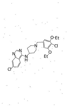 CCOc1cc(CN2CCC(Nc3ncnc4cc(Cl)ccc34)CC2)cc(OCC)c1Cl